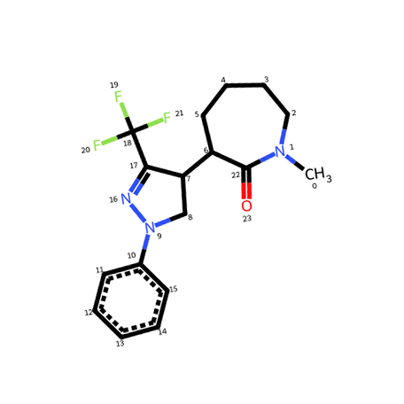 CN1CCCCC(C2CN(c3ccccc3)N=C2C(F)(F)F)C1=O